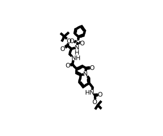 CC(C)(C)OC(=O)NCc1ccc2cc(C(=O)NCC(NS(=O)(=O)c3ccccc3)C(=O)OC(C)(C)C)cc(=O)n2c1